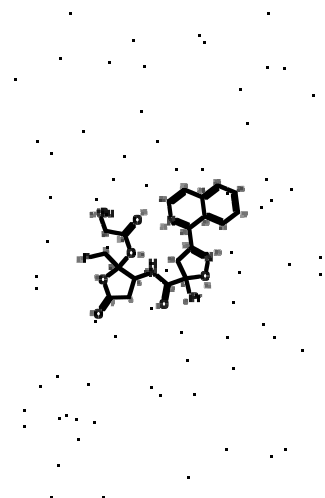 CC(C)C1(C(=O)NC2CC(=O)OC2(CF)OC(=O)CC(C)(C)C)CC(c2nccc3ccccc23)=NO1